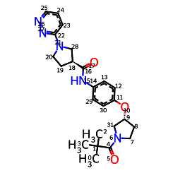 CC(C)(C)C(=O)N1CC[C@@H](Oc2ccc(NC(=O)[C@H]3CCN(c4cccnn4)C3)cc2)C1